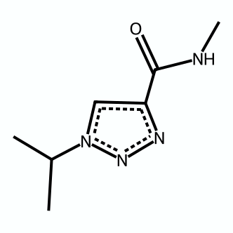 CNC(=O)c1cn(C(C)C)nn1